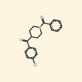 O=C(c1ccc(Cl)cc1)C1CCN(C(=O)c2ccccc2)CC1